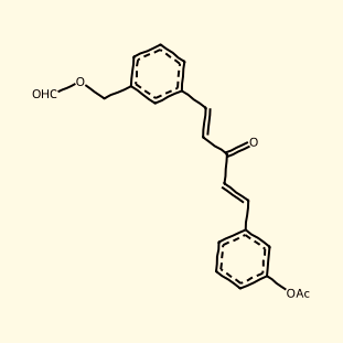 CC(=O)Oc1cccc(/C=C/C(=O)/C=C/c2cccc(COC=O)c2)c1